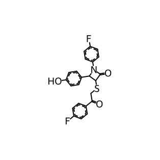 O=C(CSC1C(=O)N(c2ccc(F)cc2)C1c1ccc(O)cc1)c1ccc(F)cc1